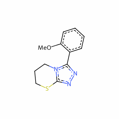 COc1ccccc1-c1nnc2n1CCCS2